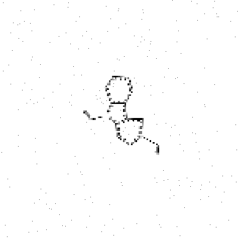 C=Cc1ccc2c(c1)c1ccccc1n2C=C